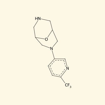 FC(F)(F)c1ccc(N2CC3CNCC(C2)O3)cn1